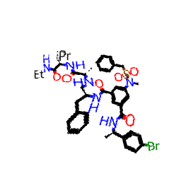 CCNC(=O)[C@@H](NC(=O)[C@H](C)NC[C@H](Cc1ccccc1)NC(=O)c1cc(C(=O)N[C@H](C)c2ccc(Br)cc2)cc(N(C)S(=O)(=O)Cc2ccccc2)c1)C(C)C